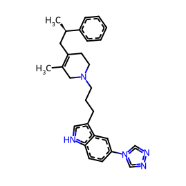 CC1=C(C[C@@H](C)c2ccccc2)CCN(CCCc2c[nH]c3ccc(-n4cnnc4)cc23)C1